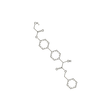 CCC(=O)Oc1ccc(-c2ccc(C(O)C(=O)OCc3ccccc3)cc2)cc1